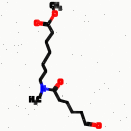 COC(=O)CCCCCCN(C)C(=O)CCCCC=O